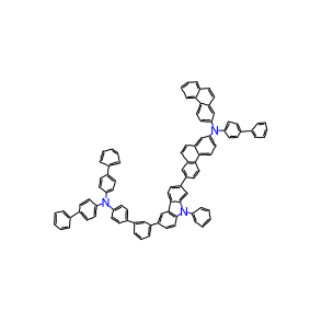 c1ccc(-c2ccc(N(c3ccc(-c4ccccc4)cc3)c3ccc(-c4cccc(-c5ccc6c(c5)c5ccc(-c7ccc8c(ccc9cc(N(c%10ccc(-c%11ccccc%11)cc%10)c%10ccc%11c(ccc%12ccccc%12%11)c%10)ccc98)c7)cc5n6-c5ccccc5)c4)cc3)cc2)cc1